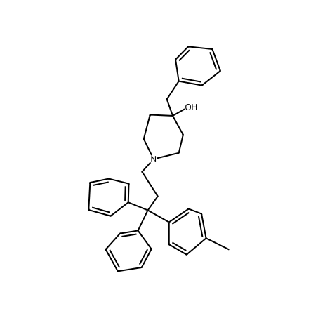 Cc1ccc(C(CCN2CCC(O)(Cc3ccccc3)CC2)(c2ccccc2)c2ccccc2)cc1